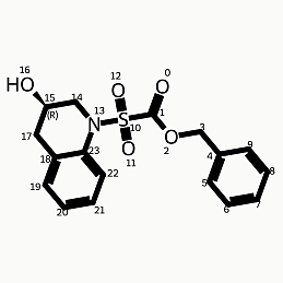 O=C(OCc1ccccc1)S(=O)(=O)N1C[C@H](O)Cc2ccccc21